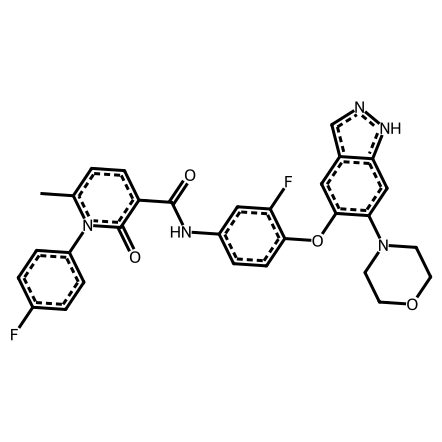 Cc1ccc(C(=O)Nc2ccc(Oc3cc4cn[nH]c4cc3N3CCOCC3)c(F)c2)c(=O)n1-c1ccc(F)cc1